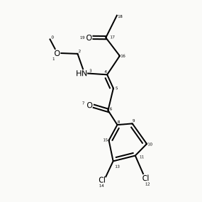 COCNC(=CC(=O)c1ccc(Cl)c(Cl)c1)CC(C)=O